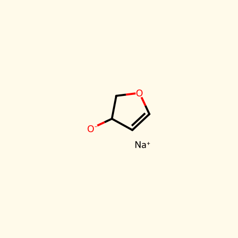 [Na+].[O-]C1C=COC1